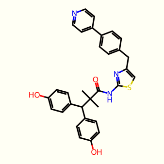 CC(C)(C(=O)Nc1nc(Cc2ccc(-c3ccncc3)cc2)cs1)C(c1ccc(O)cc1)c1ccc(O)cc1